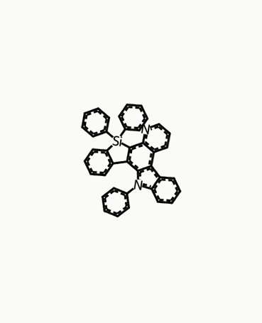 c1ccc(-n2c3ccccc3c3c4cccnc4c4c(c32)-c2ccccc2[Si]4(c2ccccc2)c2ccccc2)cc1